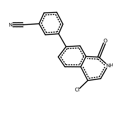 N#Cc1cccc(-c2ccc3c(Cl)c[nH]c(=O)c3c2)c1